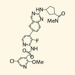 CNC(=O)C1CCC(Nc2ncc3cc(-c4ccnc(NS(=O)(=O)c5cc(Cl)cnc5OC)c4F)ccc3n2)C1